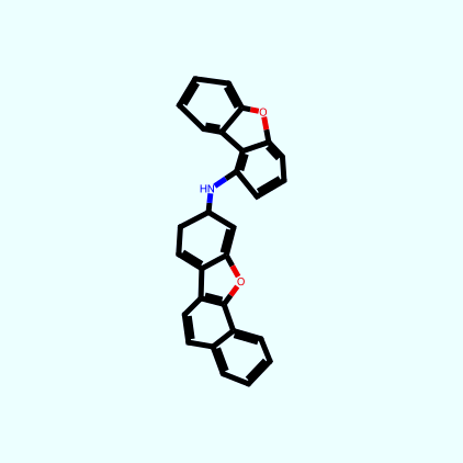 C1=c2oc3c(ccc4ccccc43)c2=CCC1Nc1cccc2oc3ccccc3c12